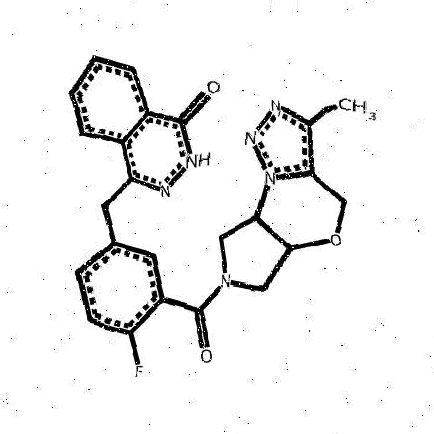 Cc1nnn2c1COC1CN(C(=O)c3cc(Cc4n[nH]c(=O)c5ccccc45)ccc3F)CC12